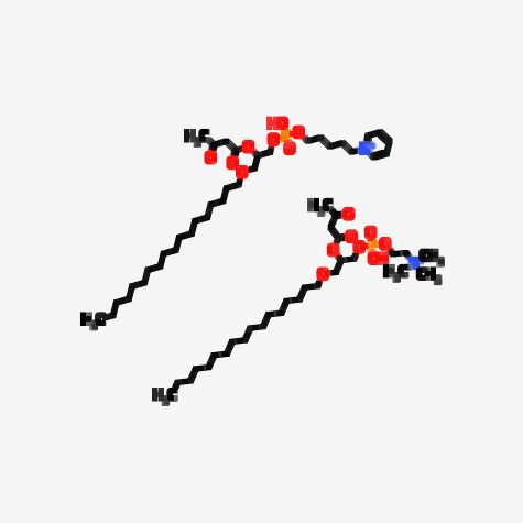 CCCCCCCCCCCCCCCCCCOCC(COP(=O)(O)OCCCCC[n+]1ccccc1)OC(=O)CC(C)=O.CCCCCCCCCCCCCCCCCOCC(COP(=O)(O)OCC[N+](C)(C)C)OC(=O)CC(C)=O